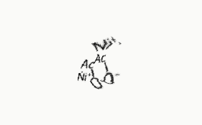 CC(=O)[O-].CC(=O)[O-].[Ni+].[Ni+]